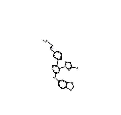 O=C(O)/C=C/c1cccc(-c2cnc(Nc3ccc4c(c3)OCO4)nc2-n2ccc(C(F)(F)F)n2)c1